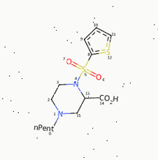 CCCCCN1CCN(S(=O)(=O)c2cccs2)C(C(=O)O)C1